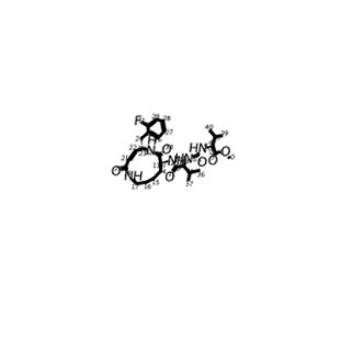 COC(=O)[C@@H](NC(=O)N[C@H](C(=O)N[C@H]1CCCCNC(=O)C=C[C@H](Cc2ccccc2F)NC1=O)C(C)C)C(C)C